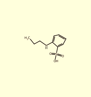 CCCNc1ccccc1S(=O)(=O)O